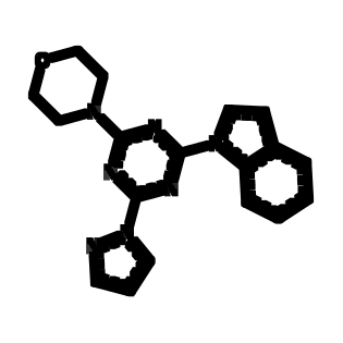 c1ccc2c(c1)ccn2-c1nc(N2CCOCC2)nc(-n2cccn2)n1